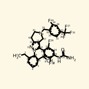 CCc1cccc(CC)c1-n1nc2c(c1-c1cc(F)c(NC(N)=O)cc1F)CN(Cc1ccc(C(F)(F)F)cc1F)CC2